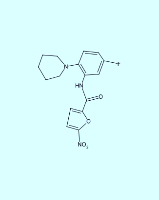 O=C(Nc1cc(F)ccc1N1CCCCC1)c1ccc([N+](=O)[O-])o1